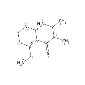 CC(N)N(C)C(=S)C1=C(CN)CCNC1